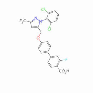 O=C(O)c1ccc(-c2ccc(OCc3cc(C(F)(F)F)nn3-c3c(Cl)cccc3Cl)cc2)cc1F